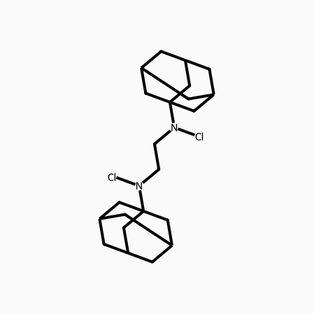 ClN(CCN(Cl)C12CC3CC(CC(C3)C1)C2)C12CC3CC(CC(C3)C1)C2